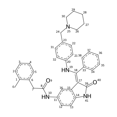 Cc1ccccc1CC(=O)Nc1ccc2c(c1)C(=C(Nc1ccc(CN3CCCCC3)cc1)c1ccccc1)C(=O)N2